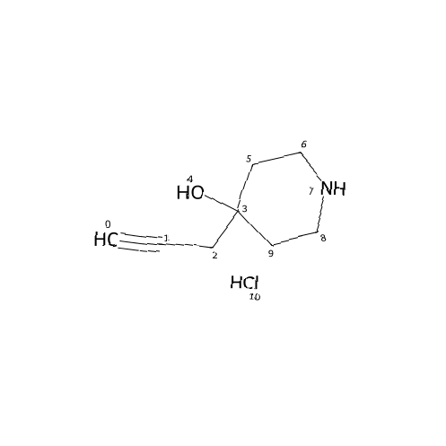 C#CCC1(O)CCNCC1.Cl